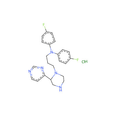 Cl.Fc1ccc(N(CCCN2CCNCC2c2ccncn2)c2ccc(F)cc2)cc1